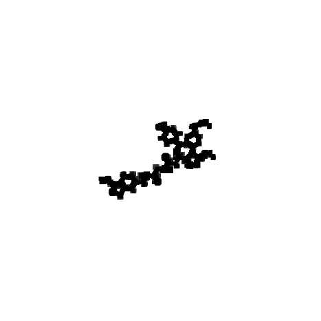 COc1ccc2c(c1)C(c1ccc(Cl)cc1)=N[C@@H](CC(=O)NCC(=O)NCc1ccc3c(c1)COB3O)c1nnc(C)n1-2